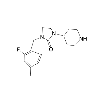 Cc1ccc(CN2CCN(C3CCNCC3)C2=O)c(F)c1